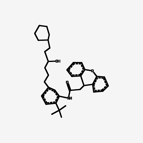 CC(C)(C)c1ccc(CCCC(O)CCC2CCCCC2)cc1NC(=O)CC1c2ccccc2Oc2ccccc21